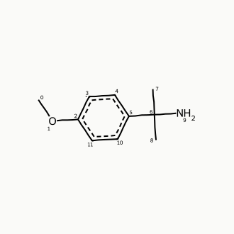 COc1[c]cc(C(C)(C)N)cc1